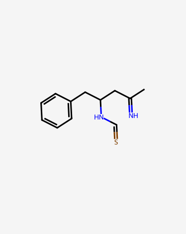 CC(=N)CC(Cc1ccccc1)NC=S